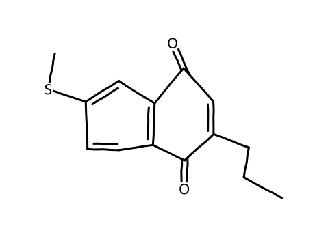 CCCC1=CC(=O)c2cc(SC)ccc2C1=O